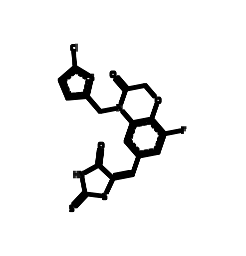 O=C1NC(=S)SC1=Cc1cc(F)c2c(c1)N(Cc1ccc(Cl)s1)C(=O)CO2